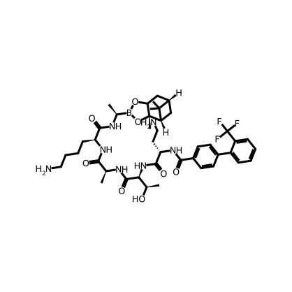 C[C@H](NC(=O)[C@H](CCCCN)NC(=O)[C@H](C)NC(=O)[C@@H](NC(=O)[C@H](CCN)NC(=O)c1ccc(-c2ccccc2C(F)(F)F)cc1)[C@@H](C)O)B1OC2C[C@@H]3C[C@@H](C3(C)C)[C@]2(C)O1